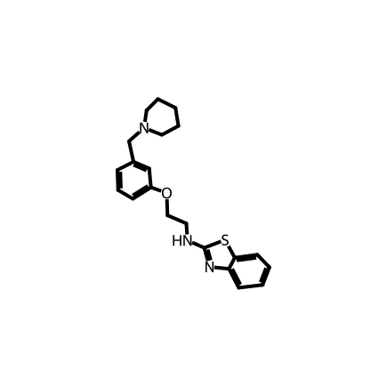 c1cc(CN2CCCCC2)cc(OCCNc2nc3ccccc3s2)c1